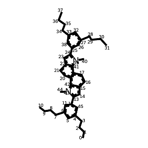 CCCCc1cc(CCCC)cc(-c2cc3ccc4c(ccc5cc(-c6cc(CCCC)cc(CCCC)c6)n(C)c54)c3n2C)c1